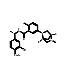 COc1ccc([C@@H](C)NC(=O)c2cc(N3C[C@H]4C[C@@H]3CN4C)ccc2C)cc1Br